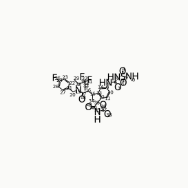 CNS(=O)(=O)NC(=O)Nc1ccc2c(c1)C(CC(=O)N(Cc1ccc(F)cc1)[C@@H](C)C(F)(F)F)C[C@@]21OC(=O)NC1=O